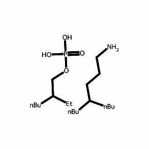 CCCCC(CC)COP(=O)(O)O.CCCCC(CCCC)CCCN